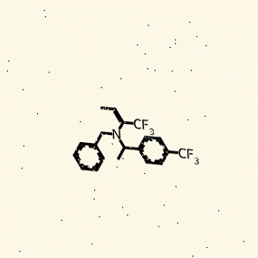 C/C=C(\N(Cc1ccccc1)C(C)c1ccc(C(F)(F)F)cc1)C(F)(F)F